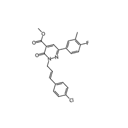 COC(=O)c1cc(-c2ccc(F)c(C)c2)nn(C/C=C/c2ccc(Cl)cc2)c1=O